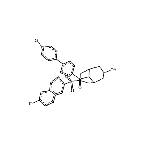 O=C(c1ccc(-c2cc[n+]([O-])cc2)cc1)N1C2CC(O)CC1CN(S(=O)(=O)c1ccc3cc(Cl)ccc3c1)C2